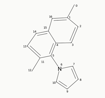 Cc1ccc2c(-n3cccc3)c(C)ccc2c1